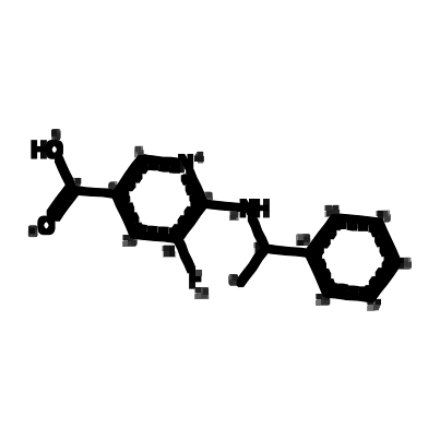 CC(Nc1ncc(C(=O)O)cc1F)c1ccccc1